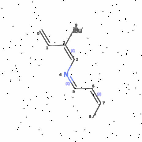 C=C\C(=C/N=C\C=C/C)C(C)CC